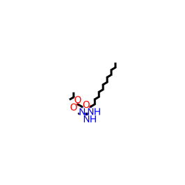 CCCCCCCCCCCCC(=O)NC(=N)N(C)CC(=O)OC(C)C